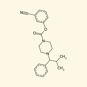 CC(C)C(c1ccccc1)N1CCN(C(=O)Oc2cccc(C#N)c2)CC1